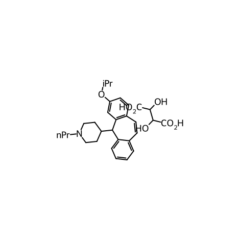 CCCN1CCC(C2c3ccccc3C=Cc3ccc(OC(C)C)cc32)CC1.O=C(O)C(O)C(O)C(=O)O